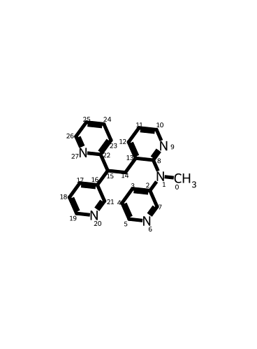 CN(c1cccnc1)c1ncccc1CC(c1cccnc1)c1ccccn1